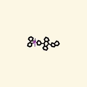 IP(I)(c1ccccc1)(c1ccccc1)c1ccc(-c2c3ccccc3c(-c3ccc4ccccc4c3)c3ccccc23)cc1